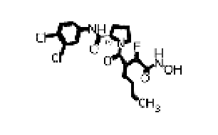 CCCCC(C(=O)N1CCC[C@H]1C(=O)Nc1ccc(Cl)c(Cl)c1)C(F)C(=O)NO